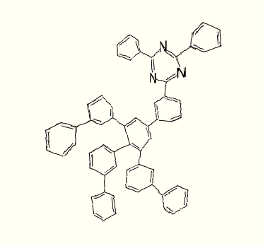 c1ccc(-c2cccc(-c3cc(-c4cccc(-c5nc(-c6ccccc6)nc(-c6ccccc6)n5)c4)cc(-c4cccc(-c5ccccc5)c4)c3-c3cccc(-c4ccccc4)c3)c2)cc1